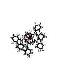 c1ccc(-n2c3ccccc3c3ccc4c5ccccc5n(-c5ncnc(-n6c7ccccc7c7ccc8c9ccccc9n(-c9ccccc9)c8c76)n5)c4c32)cc1